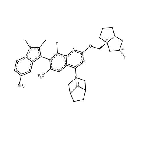 Cc1c(-c2c(C(F)(F)F)cc3c(N4CC5CCC(C4)N5)nc(OC[C@@]45CCCN4C[C@H](F)C5)nc3c2F)c2cc(N)ccc2n1C